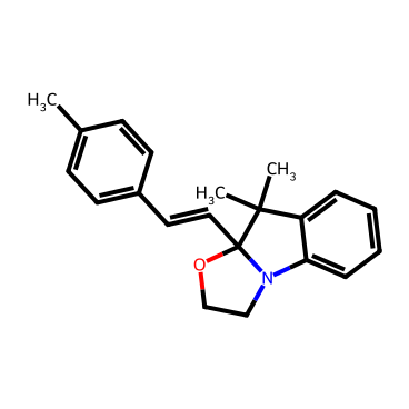 Cc1ccc(C=CC23OCCN2c2ccccc2C3(C)C)cc1